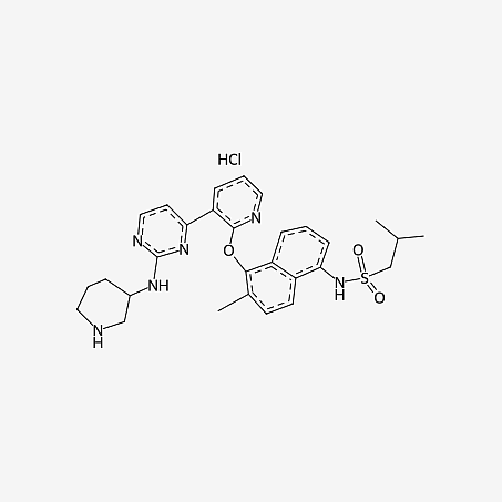 Cc1ccc2c(NS(=O)(=O)CC(C)C)cccc2c1Oc1ncccc1-c1ccnc(NC2CCCNC2)n1.Cl